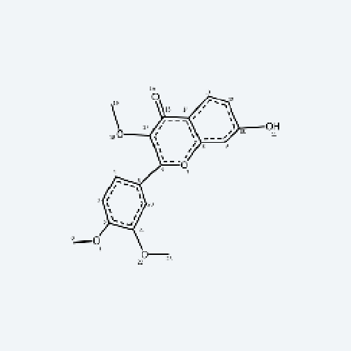 COc1ccc(-c2oc3cc(O)ccc3c(=O)c2OC)cc1OC